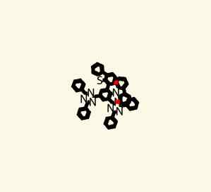 c1ccc(-c2nc(-c3ccccc3)nc(-c3cc(-c4nc(-c5ccccc5)nc(-c5ccccc5)n4)c(-n4c5ccccc5c5ccccc54)c(-c4cccc5c4sc4ccccc45)c3)n2)cc1